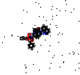 CC(C)(C)OC(=O)N(OCc1ccccc1)[C@@H]1C[C@H]2CCN(c3cccc4cccnc34)C(=O)[C@H]2N(C(=O)O)C1